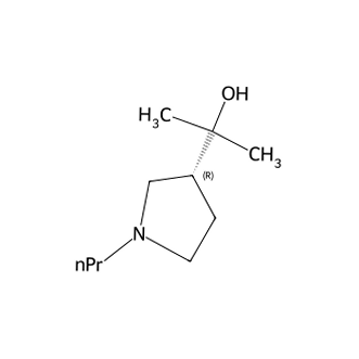 CCCN1CC[C@@H](C(C)(C)O)C1